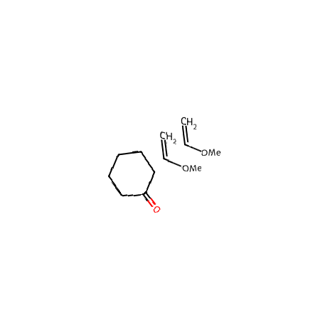 C=COC.C=COC.O=C1CCCCC1